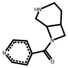 O=C(c1ccncc1)N1CC2CCNCC21